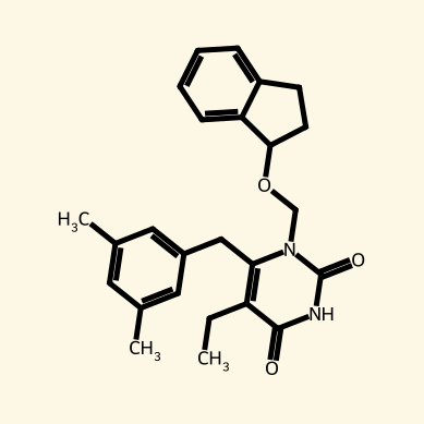 CCc1c(Cc2cc(C)cc(C)c2)n(COC2CCc3ccccc32)c(=O)[nH]c1=O